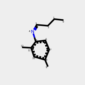 CCC/C=N\c1ccc(C)cc1C